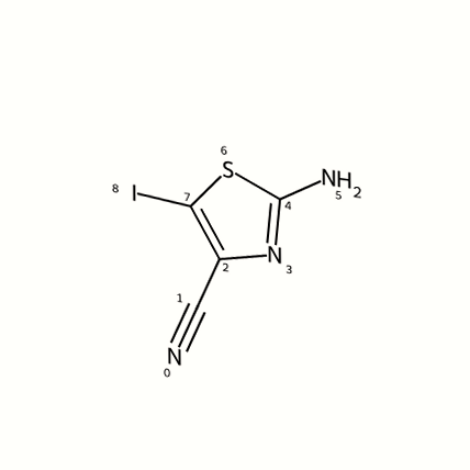 N#Cc1nc(N)sc1I